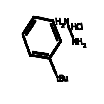 CC(C)(C)c1ccccc1.Cl.NN